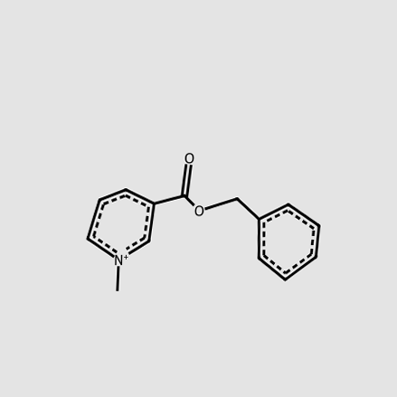 C[n+]1cccc(C(=O)OCc2ccccc2)c1